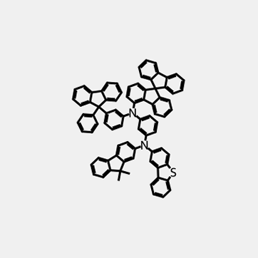 CC1(C)c2ccccc2-c2ccc(N(c3cccc(N(c4cccc(C5(c6ccccc6)c6ccccc6-c6ccccc65)c4)c4cccc5c4-c4ccccc4C54c5ccccc5-c5ccccc54)c3)c3ccc4sc5ccccc5c4c3)cc21